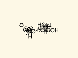 CC[C@H]1[C@@H](O)[C@@H]2[C@H](CC[C@]3(C)[C@@H](CCOC(=O)NS(=O)(=O)c4ccc(-c5ccccc5)s4)CC[C@@H]23)[C@@]2(C)CC[C@@H](O)C[C@@H]12